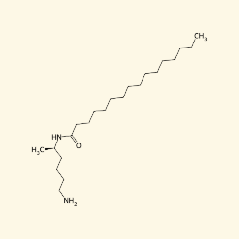 CCCCCCCCCCCCCCCC(=O)N[C@H](C)CCCCN